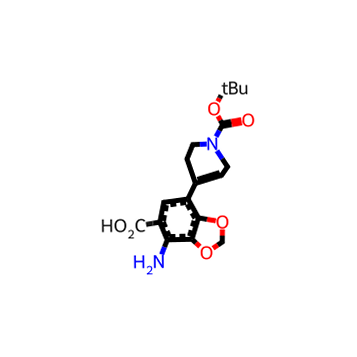 CC(C)(C)OC(=O)N1CC=C(c2cc(C(=O)O)c(N)c3c2OCO3)CC1